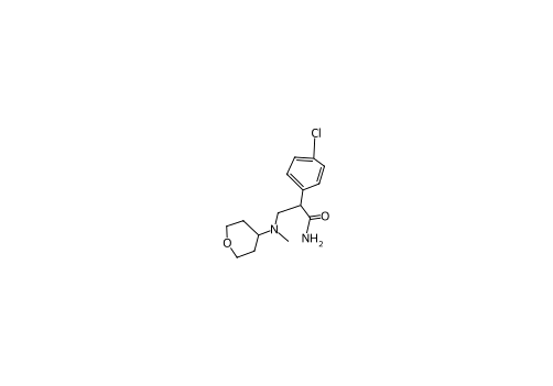 CN(CC(C(N)=O)c1ccc(Cl)cc1)C1CCOCC1